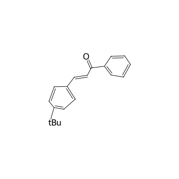 CC(C)(C)c1ccc(C=CC(=O)c2ccccc2)cc1